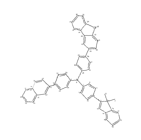 CC1(C)C(c2ccc(N(c3ccc(-c4ccc5ccccc5c4)cc3)c3ccc(-c4ccc5oc6ccccc6c5c4)cc3)cc2)=Cc2ccccc21